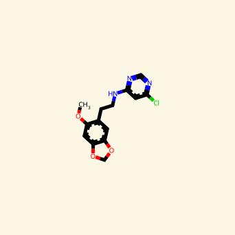 COc1cc2c(cc1CCNc1cc(Cl)ncn1)OCO2